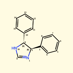 [C]1=N[C@H](c2ccccc2)[C@@H](c2ccccc2)N1